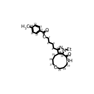 CCn1nc(CCCCOC(=O)c2ccc(C)cc2)c2c1C(=O)NCCCOCCC2